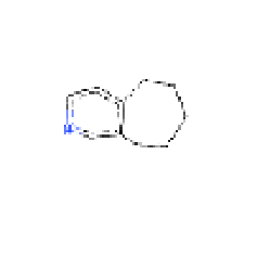 [c]1cncc2c1CCCCC2